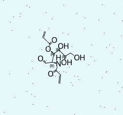 C=CC(=O)N[C@@H](C=O)[C@@H](OC(=O)C=C)[C@H](O)[C@H](O)CO